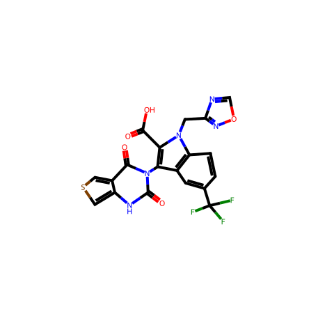 O=C(O)c1c(-n2c(=O)[nH]c3cscc3c2=O)c2cc(C(F)(F)F)ccc2n1Cc1ncon1